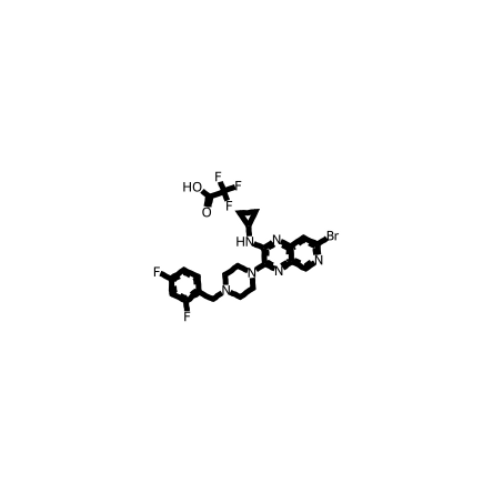 Fc1ccc(CN2CCN(c3nc4cnc(Br)cc4nc3NC3CC3)CC2)c(F)c1.O=C(O)C(F)(F)F